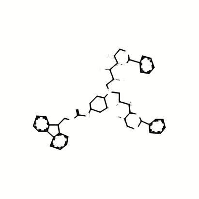 O=C(NC1CCC(N(C[C@H](O)[C@@H](O)[C@@H]2OC(c3ccccc3)OC[C@H]2O)C[C@H](O)[C@@H](O)C2OC(c3ccccc3)OC[C@H]2O)CC1)OCC1c2ccccc2-c2ccccc21